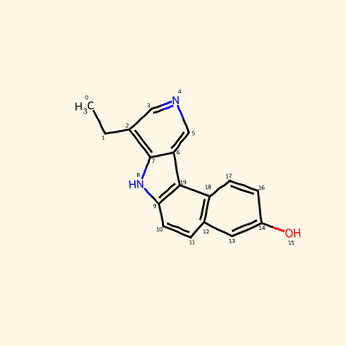 CCc1cncc2c1[nH]c1ccc3cc(O)ccc3c12